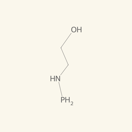 OCCNP